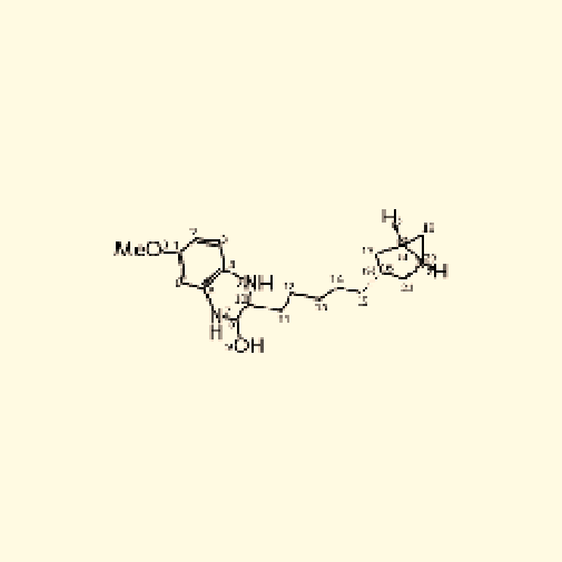 COc1ccc2c(c1)NC(O)C(CCCCC[C@@H]1C[C@@H]3C[C@@H]3C1)N2